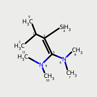 CC(C)C([SiH3])=C(N(C)C)N(C)C